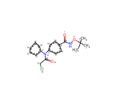 CC(C)(C)ONC(=O)c1ccc(N(C(=O)CCl)c2ccccc2)cc1